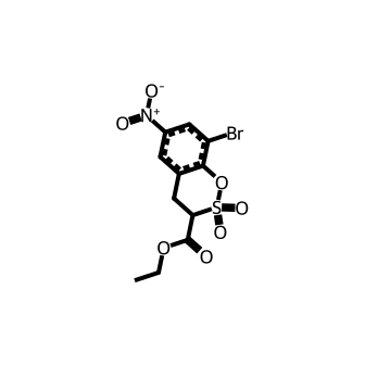 CCOC(=O)C1Cc2cc([N+](=O)[O-])cc(Br)c2OS1(=O)=O